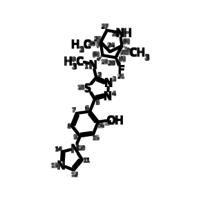 CN(c1nnc(-c2ccc(-n3ccnc3)cc2O)s1)[C@H]1[C@H](F)[C@@]2(C)C[C@]1(C)CN2